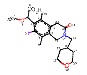 Cc1c(I)c(C(OC(C)(C)C)C(=O)O)c(C)c2c1CN(CC1CCOCC1)C(=O)C2